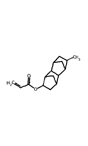 C=CC(=O)OC1CC2CC1C1C3CC(C)C(C3)C21